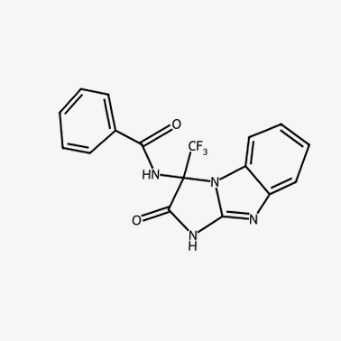 O=C(NC1(C(F)(F)F)C(=O)Nc2nc3ccccc3n21)c1ccccc1